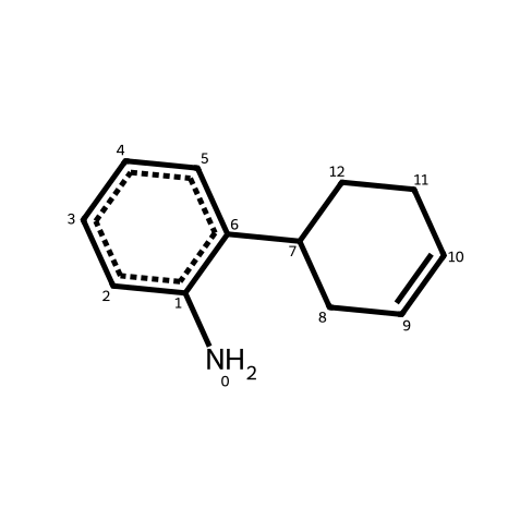 Nc1ccccc1C1CC=CCC1